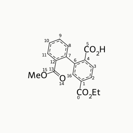 CCOC(=O)c1ccc(C(=O)O)c(-c2ccccc2C(=O)OC)c1